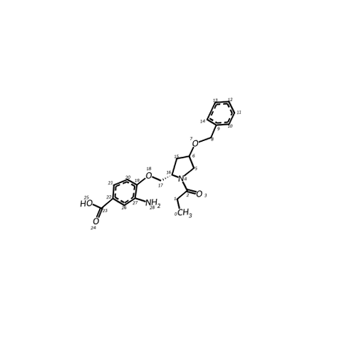 CCC(=O)N1CC(OCc2ccccc2)C[C@H]1COc1ccc(C(=O)O)cc1N